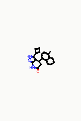 Cc1ccc(C2CC(=O)Nc3n[nH]c(C4=CC=C4)c32)c2ccccc12